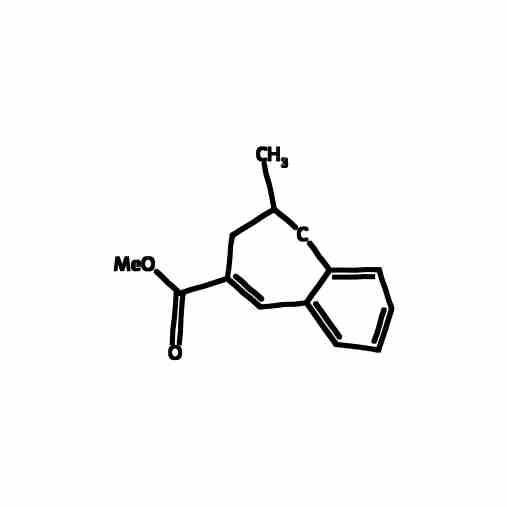 COC(=O)C1=Cc2ccccc2CC(C)C1